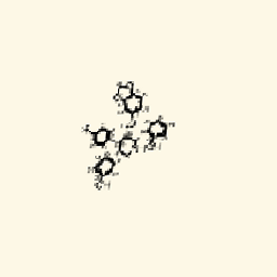 Fc1ccc([C@@H]2CCNC[C@H]2COc2ccc3c(c2)OCO3)cc1.Oc1ccccc1.Oc1ccccc1